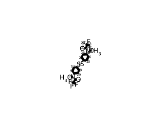 CN(C(=O)C(F)(F)F)c1ccc(SSc2ccc(N(C)C(=O)C(F)(F)F)cc2)cc1